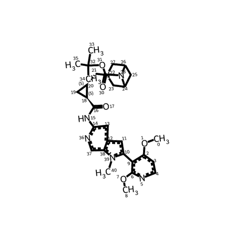 COc1ccnc(OC)c1-c1cc2cc(NC(=O)[C@H]3C[C@@H]3CN3CC4CC(C3)N4C(=O)OC(C)(C)C)ncc2n1C